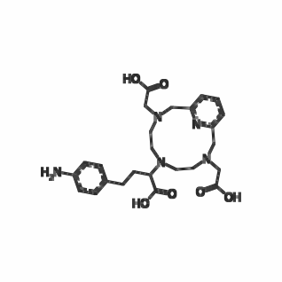 Nc1ccc(CCC(C(=O)O)N2CCN(CC(=O)O)Cc3cccc(n3)CN(CC(=O)O)CC2)cc1